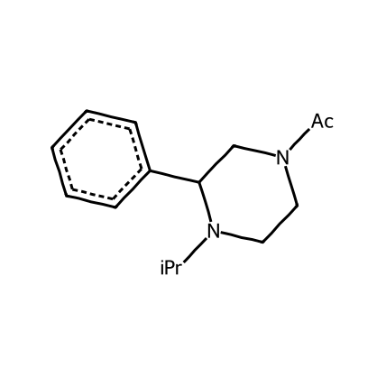 CC(=O)N1CCN(C(C)C)C(c2ccccc2)C1